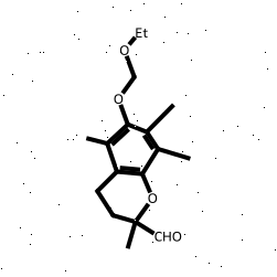 CCOCOc1c(C)c(C)c2c(c1C)CCC(C)(C=O)O2